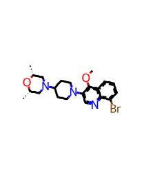 COc1c(N2CCC(N3C[C@@H](C)O[C@@H](C)C3)CC2)cnc2c(Br)cccc12